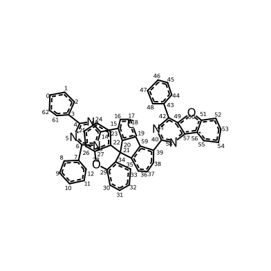 c1ccc(-c2nc(-c3ccccc3)nc(-c3cccc4c3C3(c5ccccc5Oc5ccccc53)c3cccc(-c5nc(-c6ccccc6)c6oc7ccccc7c6n5)c3-4)n2)cc1